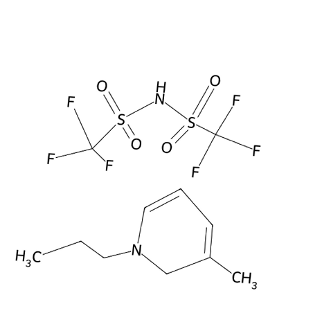 CCCN1C=CC=C(C)C1.O=S(=O)(NS(=O)(=O)C(F)(F)F)C(F)(F)F